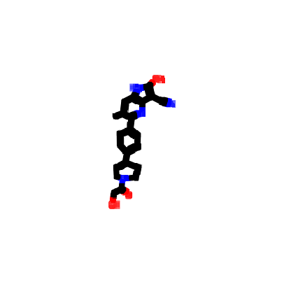 Cc1cc2[nH]c(O)c(C#N)c2nc1-c1ccc(C2=CCN(C(=O)CO)CC2)cc1